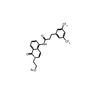 CC(=O)OCCn1ccc2c(NC(=O)CCc3cc(C(F)(F)F)cc(C(F)(F)F)c3)cccc2c1=O